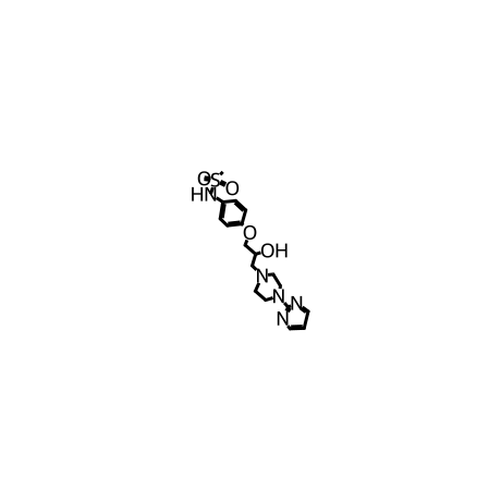 CS(=O)(=O)Nc1ccc(OCC(O)CN2CCN(c3ncccn3)CC2)cc1